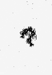 Cc1ncc(NC(=O)c2cnnc(C3CC3)c2)cc1-c1ccnc(-c2ccnc(NC(=O)C3CC3)c2)c1